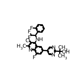 Cc1nc2c(F)cc(-c3cnc(C(C)(C)O)nc3)cc2c(NC(c2ccccc2F)C(F)F)c1Cl